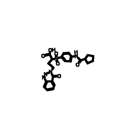 O=C(Nc1ccc(S(=O)(=O)C(CCn2nnc3ccccc3c2=O)C(=O)O)cc1)C1CCCC1